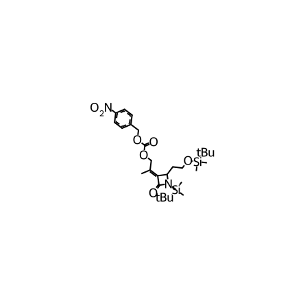 C/C(COC(=O)OCc1ccc([N+](=O)[O-])cc1)=C1\C(=O)N([Si](C)(C)C(C)(C)C)C1CCO[Si](C)(C)C(C)(C)C